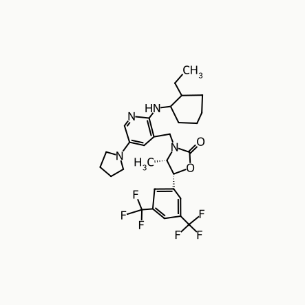 CCC1CCCCC1Nc1ncc(N2CCCC2)cc1CN1C(=O)O[C@H](c2cc(C(F)(F)F)cc(C(F)(F)F)c2)[C@@H]1C